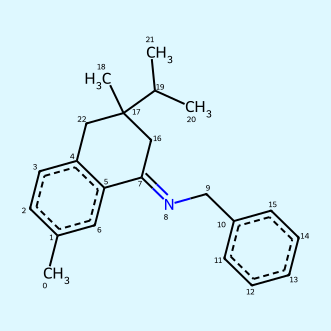 Cc1ccc2c(c1)C(=NCc1ccccc1)CC(C)(C(C)C)C2